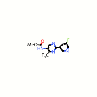 COC(=O)Nc1cnc(-c2cncc(F)c2)nc1C(F)(F)F